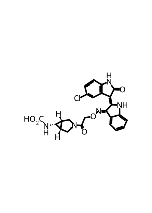 O=C(O)N[C@@H]1[C@@H]2CN(C(=O)CO/N=C3/C(=C4/C(=O)Nc5ccc(Cl)cc54)Nc4ccccc43)C[C@@H]21